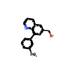 O=[N+]([O-])c1cccc(-c2cc(CBr)cc3cccnc23)c1